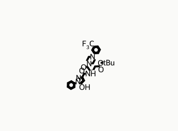 CC(C)(C)OC(=O)CC[C@H](NC(=O)c1cc(O)n(-c2ccccc2)n1)C(=O)N1CCN(c2cccc(C(F)(F)F)c2)CC1